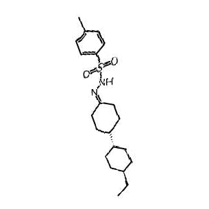 CC[C@H]1CC[C@H](C2CCC(=NNS(=O)(=O)c3ccc(C)cc3)CC2)CC1